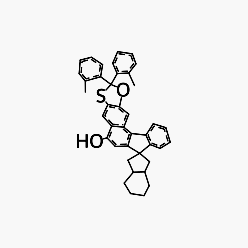 Cc1ccccc1C1(c2ccccc2C)Oc2cc3c4c(cc(O)c3cc2S1)C1(CC2CCCCC2C1)c1ccccc1-4